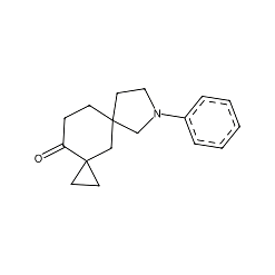 O=C1CCC2(CCN(c3ccccc3)C2)CC12CC2